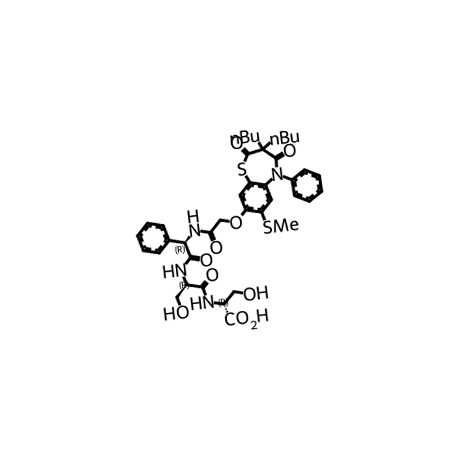 CCCCC1(CCCC)C(=O)Sc2cc(OCC(=O)N[C@@H](C(=O)N[C@H](CO)C(=O)N[C@H](CO)C(=O)O)c3ccccc3)c(SC)cc2N(c2ccccc2)C1=O